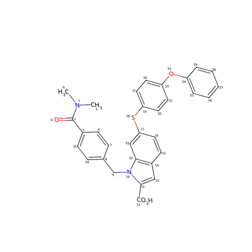 CN(C)C(=O)c1ccc(Cn2c(C(=O)O)cc3ccc(Sc4ccc(Oc5ccccc5)cc4)cc32)cc1